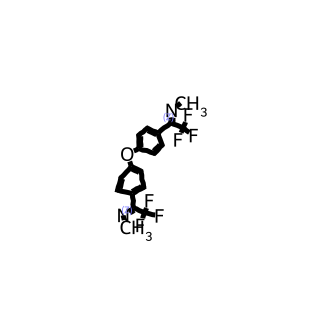 C/N=C(/c1ccc(Oc2ccc(/C(=N/C)C(F)(F)F)cc2)cc1)C(F)(F)F